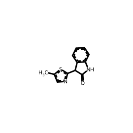 Cc1cnc(C2C(=O)Nc3ccccc32)s1